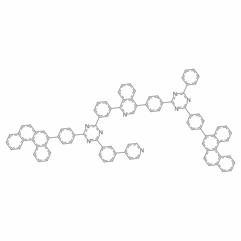 c1ccc(-c2nc(-c3ccc(-c4cnc(-c5cccc(-c6nc(-c7ccc(-c8cc9ccc%10ccccc%10c9c9ccccc89)cc7)nc(-c7cccc(-c8ccncc8)c7)n6)c5)c5ccccc45)cc3)nc(-c3ccc(-c4cc5ccc6ccccc6c5c5ccccc45)cc3)n2)cc1